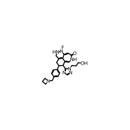 O=C1C=C2C3=C(CNN2F)CC(c2ccc(CN4CCC4)cc2)C(c2ncnn2CCCO)C3=CN1